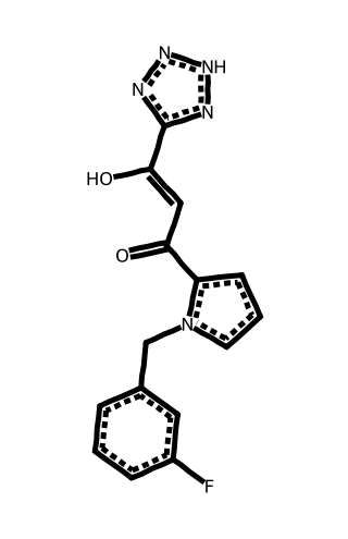 O=C(C=C(O)c1nn[nH]n1)c1cccn1Cc1cccc(F)c1